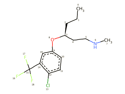 CCC[C@@H](CCNC)Oc1ccc(Cl)c(C(F)(F)F)c1